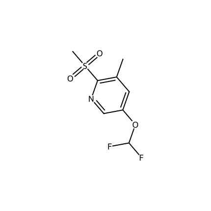 Cc1cc(OC(F)F)cnc1S(C)(=O)=O